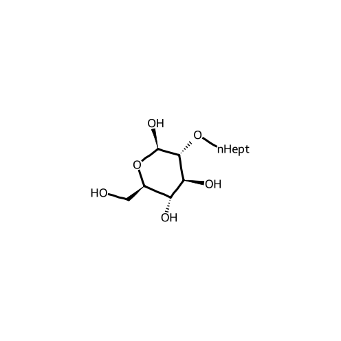 CCCCCCCO[C@@H]1[C@@H](O)[C@H](O)[C@@H](CO)O[C@H]1O